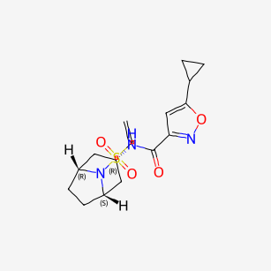 C=CS(=O)(=O)N1[C@@H]2CC[C@H]1C[C@@H](NC(=O)c1cc(C3CC3)on1)C2